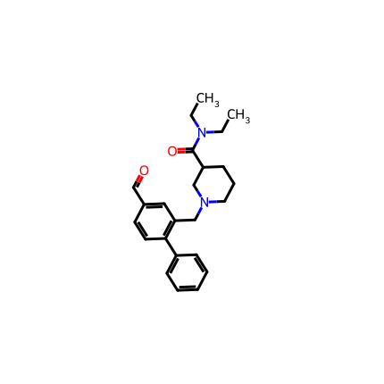 CCN(CC)C(=O)C1CCCN(Cc2cc(C=O)ccc2-c2ccccc2)C1